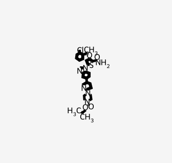 CC(C)COC(=O)N1CCN(c2ccc(-c3ccc4c(c3)ncn4-c3cc(O[C@H](C)c4ccccc4Cl)c(C(N)=O)s3)cn2)CC1